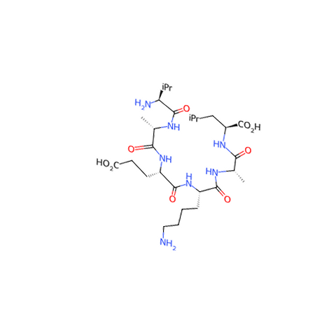 CC(C)C[C@H](NC(=O)[C@H](C)NC(=O)[C@H](CCCCN)NC(=O)[C@H](CCC(=O)O)NC(=O)[C@H](C)NC(=O)[C@@H](N)C(C)C)C(=O)O